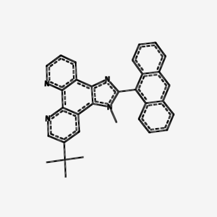 Cn1c(-c2c3ccccc3cc3ccccc23)nc2c3cccnc3c3ncc(C(C)(C)C)cc3c21